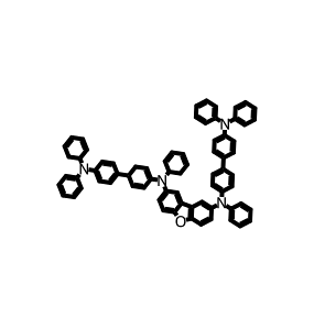 C1=CCC(N(C2=CCC(c3ccc(N(c4ccccc4)C4C=CC=CC4)cc3)C=C2)c2ccc3oc4ccc(N(c5ccccc5)c5ccc(-c6ccc(N(c7ccccc7)c7ccccc7)cc6)cc5)cc4c3c2)C=C1